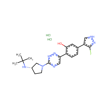 CC(C)(C)N[C@H]1CCN(c2ncc(-c3ccc(-c4c[nH]nc4F)cc3O)nn2)C1.Cl.Cl